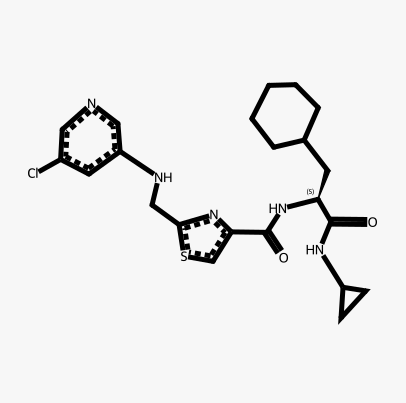 O=C(N[C@@H](CC1CCCCC1)C(=O)NC1CC1)c1csc(CNc2cncc(Cl)c2)n1